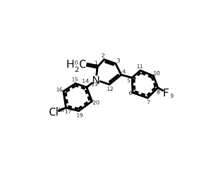 C=C1C=CC(c2ccc(F)cc2)=CN1c1ccc(Cl)cc1